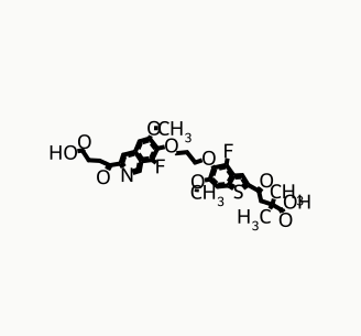 COc1cc2cc(C(=O)CCC(=O)O)ncc2c(F)c1OCCCOc1c(OC)cc2sc(C(=O)CC(C)(C)C(=O)O)cc2c1F